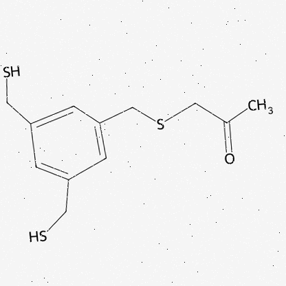 CC(=O)CSCc1cc(CS)cc(CS)c1